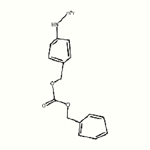 CCCNc1ccc(COC(=O)OCc2ccccc2)cc1